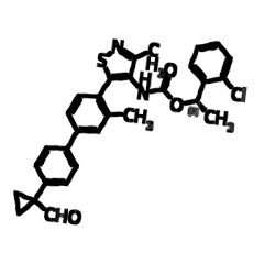 Cc1cc(-c2ccc(C3(C=O)CC3)cc2)ccc1-c1snc(C)c1NC(=O)O[C@H](C)c1ccccc1Cl